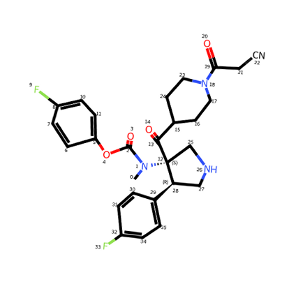 CN(C(=O)Oc1ccc(F)cc1)[C@]1(C(=O)C2CCN(C(=O)CC#N)CC2)CNC[C@H]1c1ccc(F)cc1